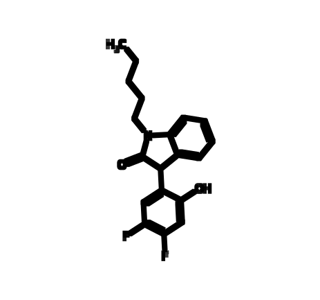 CCCCCN1C(=O)C(c2cc(F)c(F)cc2O)c2ccccc21